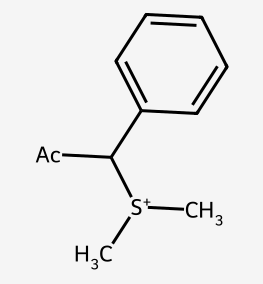 CC(=O)C(c1ccccc1)[S+](C)C